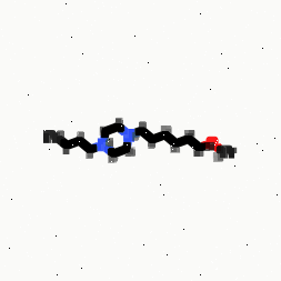 CC(C)CCCN1CCN(CCCCCCOC(C)C)CC1